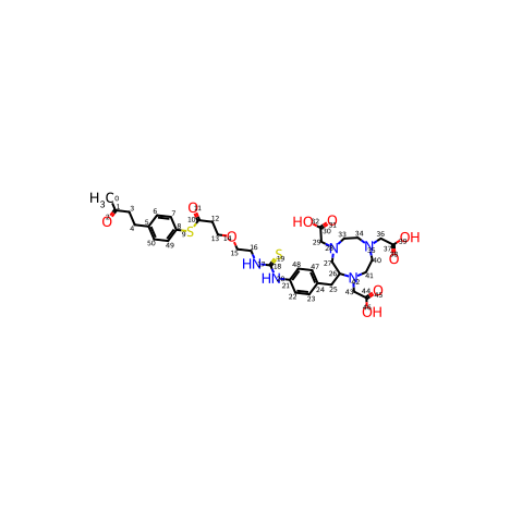 CC(=O)CCc1ccc(SC(=O)CCOCCNC(=S)Nc2ccc(CC3CN(CC(=O)O)CCN(CC(=O)O)CCN3CC(=O)O)cc2)cc1